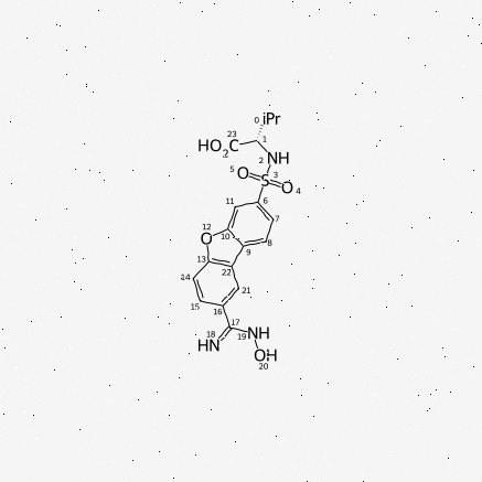 CC(C)[C@H](NS(=O)(=O)c1ccc2c(c1)oc1ccc(C(=N)NO)cc12)C(=O)O